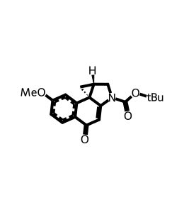 COc1ccc2c(c1)[C@@]13C[C@@H]1CN(C(=O)OC(C)(C)C)C3=CC2=O